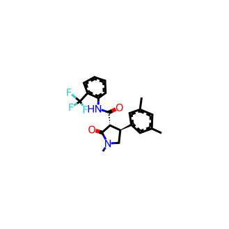 Cc1cc(C)cc([C@H]2CN(C)C(=O)[C@@H]2C(=O)Nc2ccccc2C(F)(F)F)c1